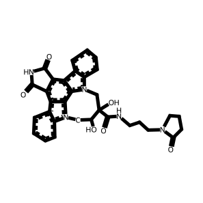 O=C1NC(=O)c2c1c1c3ccccc3n3c1c1c2c2ccccc2n1CC(O)(C(=O)NCCCN1CCCC1=O)C(O)C3